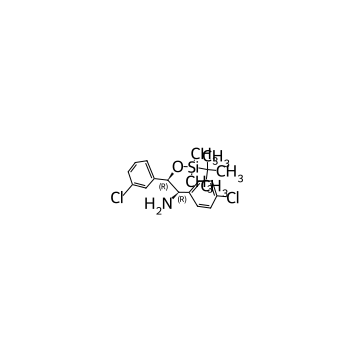 CC(C)(C)[Si](C)(C)O[C@H](c1cccc(Cl)c1)[C@H](N)c1ccc(Cl)cc1